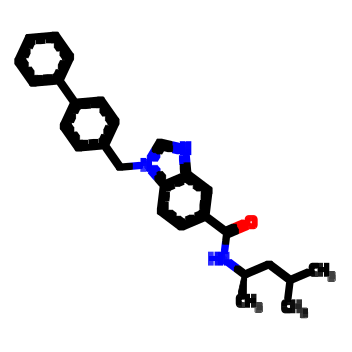 CC(C)C[C@@H](C)NC(=O)c1ccc2c(c1)ncn2Cc1ccc(-c2ccccc2)cc1